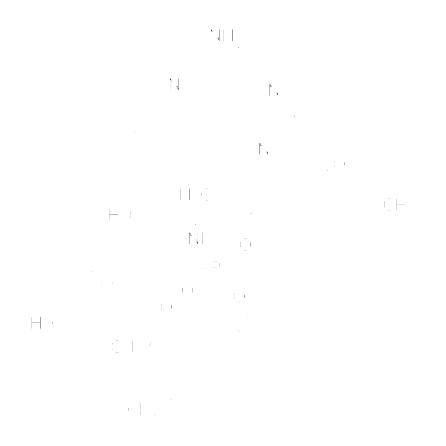 CCOCc1nc2c(N)nc3ccccc3c2n1C[C@@H](C)O[P@](=O)(N[C@@H](C)C(=O)OC(C)C)Oc1cccc(Cl)c1